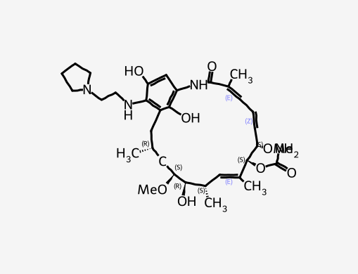 CO[C@H]1/C=C\C=C(/C)C(=O)Nc2cc(O)c(NCCN3CCCC3)c(c2O)C[C@@H](C)C[C@H](OC)[C@H](O)[C@@H](C)/C=C(\C)[C@@H]1OC(N)=O